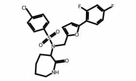 O=C1NCCCCC1N(Cc1ccc(-c2ccc(F)cc2F)o1)S(=O)(=O)c1ccc(Cl)cc1